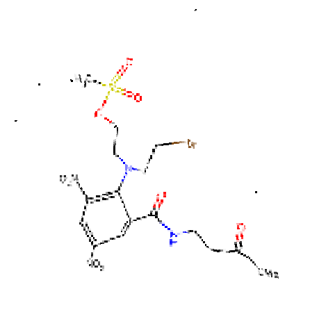 COC(=O)CCNC(=O)c1cc([N+](=O)[O-])cc([N+](=O)[O-])c1N(CCBr)CCOS(C)(=O)=O